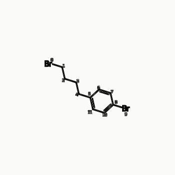 BrCCCCc1ccc(Br)cc1